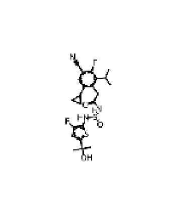 CC(C)c1c(F)c(C#N)cc(C2CC2)c1CC(=O)/N=[SH](=O)\Nc1sc(C(C)(C)O)cc1F